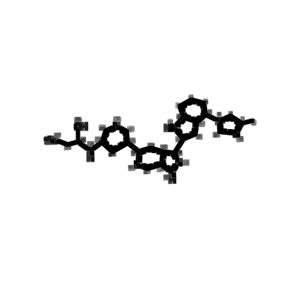 Cc1cn(-c2cccc3[nH]c(-c4n[nH]c5cnc(-c6cncc(NC(O)CC(C)(C)C)c6)cc45)cc23)cn1